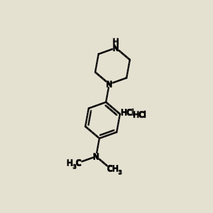 CN(C)c1ccc(N2CCNCC2)cc1.Cl.Cl